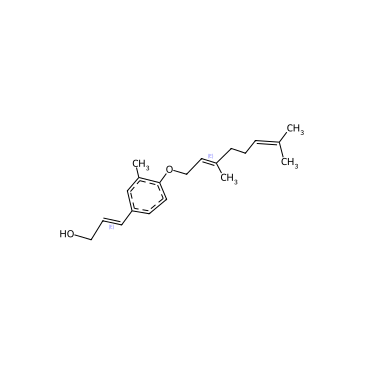 CC(C)=CCC/C(C)=C/COc1ccc(/C=C/CO)cc1C